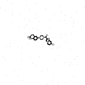 O=C1CCc2cc(N3CCN(C(=O)c4cn5ccc(Cl)cc5n4)CC3)ccc2N1